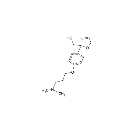 CN(C)CCCOc1ccc(C2(CO)C=CCO2)cc1